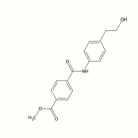 COC(=O)c1ccc(C(=O)Nc2ccc(CCO)cc2)cc1